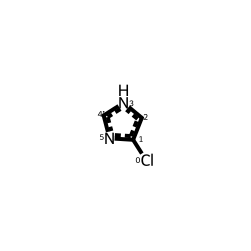 Clc1c[nH][c]n1